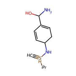 C#[SH](NC1C=CC(C(N)O)=CC1)C(C)C